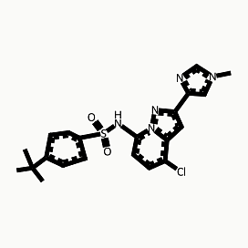 Cn1cnc(-c2cc3c(Cl)ccc(NS(=O)(=O)c4ccc(C(C)(C)C)cc4)n3n2)c1